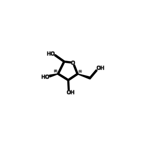 OC[C@@H]1OC(O)[C@H](O)C1O